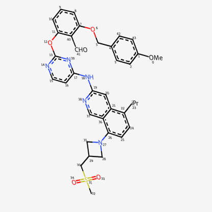 COc1ccc(COc2cccc(Oc3nccc(Nc4cc5c(C(C)C)ccc(N6CC(CS(C)(=O)=O)C6)c5cn4)n3)c2C=O)cc1